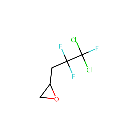 FC(Cl)(Cl)C(F)(F)CC1CO1